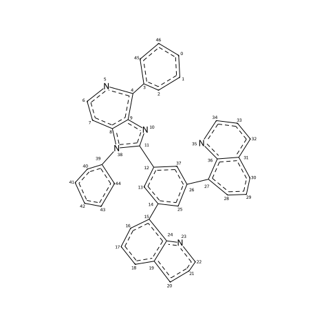 c1ccc(-c2nccc3c2nc(-c2cc(-c4cccc5cccnc45)cc(-c4cccc5cccnc45)c2)n3-c2ccccc2)cc1